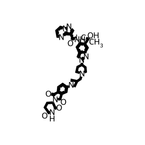 CC(C)(O)c1cc2nn(C3CCN(CC4CN(c5ccc6c(c5)C(=O)N(C5CCC(=O)NC5=O)C6=O)C4)CC3)cc2cc1NC(=O)c1cnn2cccnc12